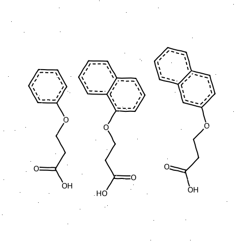 O=C(O)CCOc1ccc2ccccc2c1.O=C(O)CCOc1cccc2ccccc12.O=C(O)CCOc1ccccc1